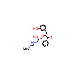 COCCNCC(O)COC(Cc1cccc(O)c1)C(=O)c1ccccc1